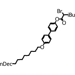 CCCCCCCCCCCCCCCCCCOc1ccc(-c2ccc(OC(=O)C(Br)C(C)CC)cc2)cc1